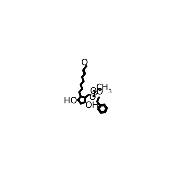 COP(=O)(CCc1ccccc1)OCC1C(O)CC(O)C1CCCCCC=CC=O